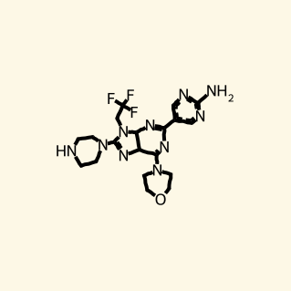 Nc1ncc(C2=NC3C(N=C(N4CCNCC4)N3CC(F)(F)F)C(N3CCOCC3)=N2)cn1